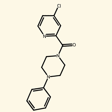 O=C(c1cc(Cl)ccn1)N1CCN(c2ccccc2)CC1